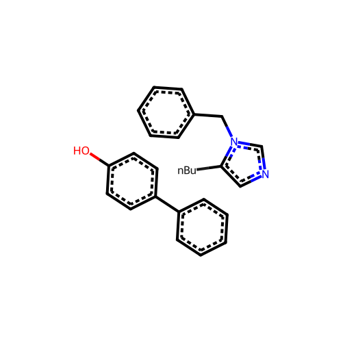 CCCCc1cncn1Cc1ccccc1.Oc1ccc(-c2ccccc2)cc1